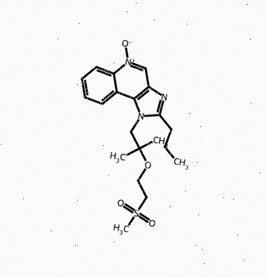 CCCc1nc2c[n+]([O-])c3ccccc3c2n1CC(C)(C)OCCS(C)(=O)=O